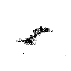 CCCCCCCCCCC(CN(CCCCC(=O)OCCN1CC(C)N(CCOC(=O)CCCCN(CC(CCCCCCCCCC)O[Si](C)(C)C(C)(C)C)CC(CCCCCCCCCC)O[Si](C)(C)C(C)(C)C)CC1C)CC(CCCCCCCCCC)O[Si](C)(C)C(C)(C)C)O[Si](C)(C)C(C)(C)C